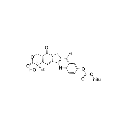 CCCCOC(=O)Oc1ccc2nc3c(c(CC)c2c1)Cn1c-3cc2c(c1=O)COC(=O)[C@]2(O)CC